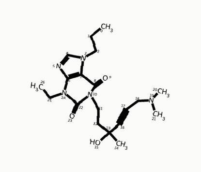 CCCn1cnc2c1c(=O)n(CCC(C)(O)C#CCN(C)C)c(=O)n2CC